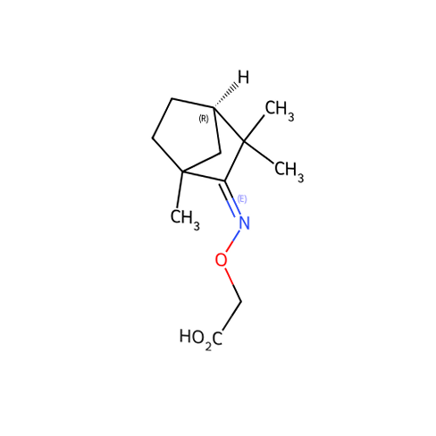 CC12CC[C@H](C1)C(C)(C)/C2=N/OCC(=O)O